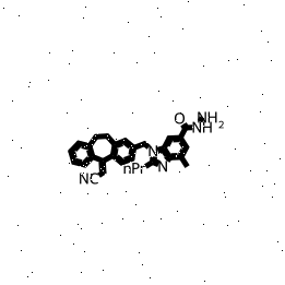 CCCc1nc2c(C)cc(C(=O)NN)cc2n1Cc1ccc2c(c1)CCc1ccccc1C2=CC#N